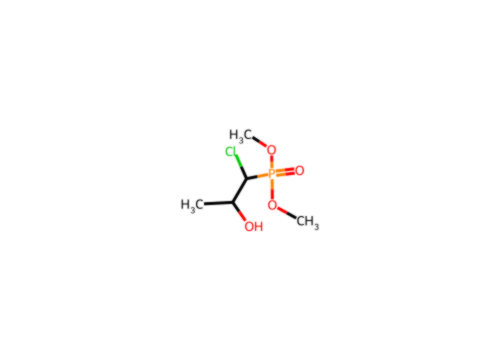 COP(=O)(OC)C(Cl)C(C)O